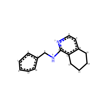 c1ccc(CNc2nccc3c2CCCC3)cc1